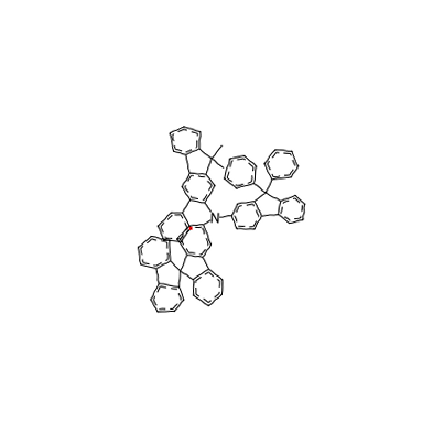 CC1(C)c2ccccc2-c2cc(-c3ccccc3)c(N(c3ccc4c(c3)-c3ccccc3C43c4ccccc4-c4ccccc43)c3ccc4c(c3)C(c3ccccc3)(c3ccccc3)c3ccccc3-4)cc21